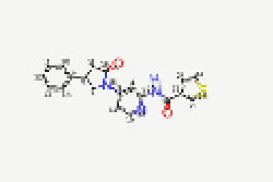 O=C(Nc1cc(N2CC(c3ccccc3)CC2=O)ccn1)c1ccsc1